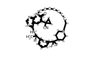 C[C@@H]1Nc2ncnc3c2cc(C2(C#N)CC2)c(=O)n3CCCCCCCCN2CCC(CC2)C(F)(F)c2cccc1c2